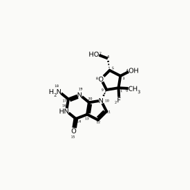 CC1(F)C(O)[C@@H](CO)O[C@H]1n1ccc2c(=O)[nH]c(N)nc21